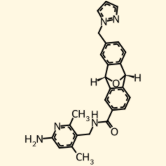 Cc1cc(N)nc(C)c1CNC(=O)c1ccc2c(c1)[C@H]1O[C@@H]2c2ccc(Cn3cccn3)cc21